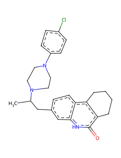 CC(Cc1ccc2c3c(c(=O)[nH]c2c1)CCCC3)N1CCN(c2ccc(Cl)cc2)CC1